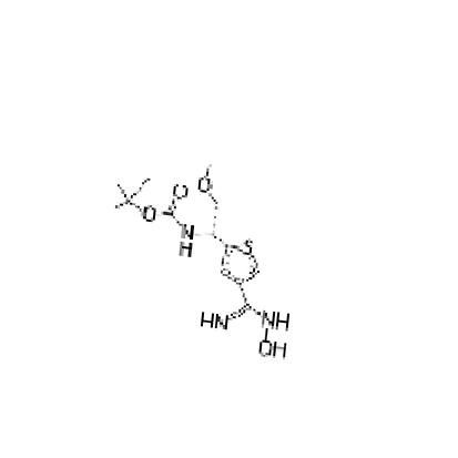 COC[C@@H](NC(=O)OC(C)(C)C)c1cc(C(=N)NO)cs1